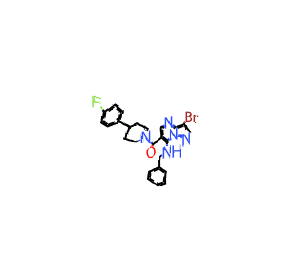 O=C(c1cnc2c(Br)cnn2c1NCc1ccccc1)N1CCC(c2ccc(F)cc2)CC1